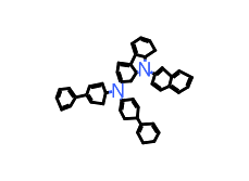 C1=CCC2C(=C1)C1=CC=C(N(C3=CCC(C4=CCCC=C4)C=C3)C3C=CC(c4ccccc4)=CC3)CC1N2c1ccc2ccccc2c1